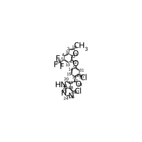 Cc1cc2cc(C(F)(F)F)cc(Oc3ccc(C(=O)c4c[nH]c5ncnc(Cl)c45)c(Cl)c3)c2o1